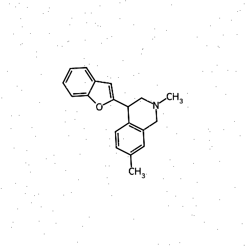 Cc1ccc2c(c1)CN(C)CC2c1cc2ccccc2o1